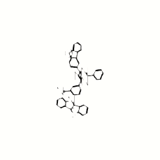 N#Cc1cc(-c2nc(-c3ccccc3)nc(-c3ccc4oc5ccccc5c4c3)n2)ccc1N1c2ccccc2C2Sc3ccccc3C21